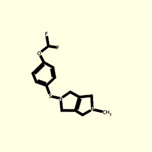 CN1CC2=C(C1)CN(Sc1ccc(OC(F)F)cc1)C2